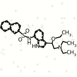 CCOC(CN(CC)CC)c1c[nH]c2c(NS(=O)(=O)c3ccc4ccccc4c3)cccc12